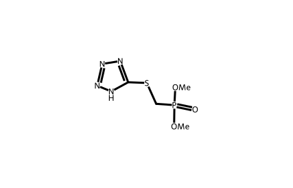 COP(=O)(CSc1nnn[nH]1)OC